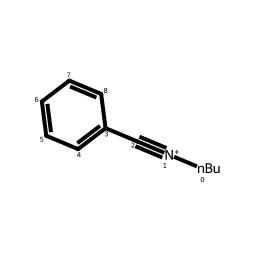 CCCC[N+]#Cc1ccccc1